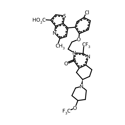 Cc1cc(-c2cc(Cl)ccc2OCCn2c(C(F)(F)F)nc3c(c2=O)C[C@H](N2CCC(OC(F)(F)F)CC2)CC3)c2scc(C(=O)O)c2n1